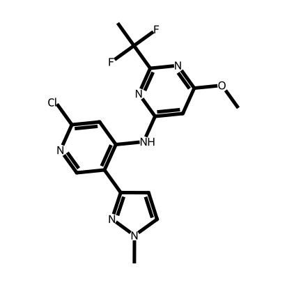 COc1cc(Nc2cc(Cl)ncc2-c2ccn(C)n2)nc(C(C)(F)F)n1